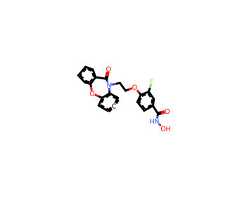 O=C(NO)c1ccc(OCCN2C(=O)c3ccccc3Oc3ccccc32)c(F)c1